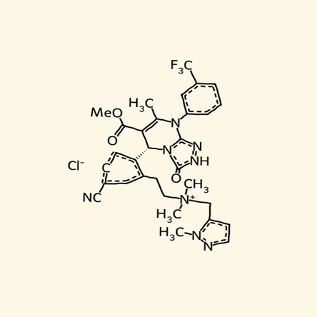 COC(=O)C1=C(C)N(c2cccc(C(F)(F)F)c2)c2n[nH]c(=O)n2[C@@H]1c1ccc(C#N)cc1CC[N+](C)(C)Cc1ccnn1C.[Cl-]